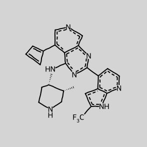 C[C@@H]1CNCC[C@@H]1Nc1nc(-c2ccnc3[nH]c(C(F)(F)F)cc23)nc2cncc(C3=CC=C3)c12